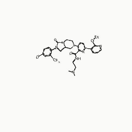 CCOc1ncccc1-c1ccc(N2CCN3C(=O)N(c4ccc(Cl)cc4C(F)(F)F)CC3C2)c(C(=O)NCCN(C)C)n1